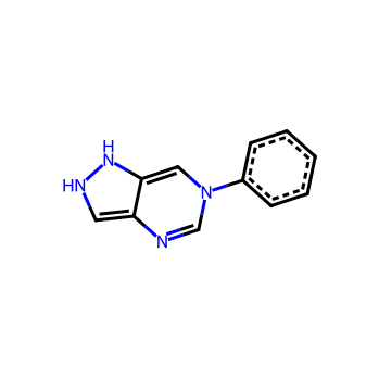 C1=NC2=CNNC2=CN1c1ccccc1